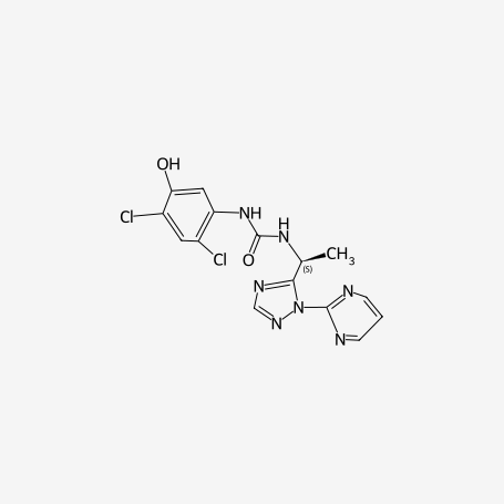 C[C@H](NC(=O)Nc1cc(O)c(Cl)cc1Cl)c1ncnn1-c1ncccn1